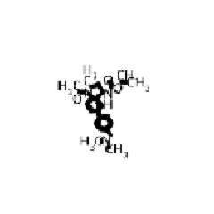 CC(=O)N1c2ccc(-c3ccc(CN(C)C)cc3)cc2[C@H](NC(=O)OC(C)C)C[C@@H]1C